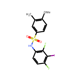 COc1ccc(S(=O)(=O)Nc2ccc(F)c(I)c2F)cc1C